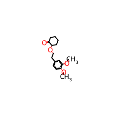 COc1ccc(CCO[C@H]2CCCCC2=O)cc1OC